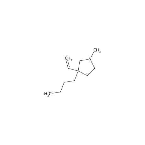 C=CC1(CCCC)CCN(C)C1